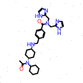 CC(=O)N(C1CCCCC1)[C@H]1CC[C@H](NCc2ccc(C(=O)N(Cc3ncc[nH]3)Cc3ncc[nH]3)cc2)CC1